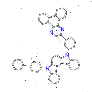 c1ccc(-c2ccc(-n3c4ccccc4c4c5c6ccccc6n(-c6cccc(-c7cnc8c9ccccc9c9ccccc9c8n7)c6)c5ccc43)cc2)cc1